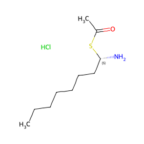 CCCCCCC[C@@H](N)SC(C)=O.Cl